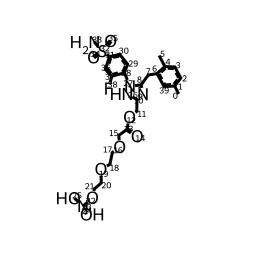 Cc1ccc(C)c(CC2=NC(COC(=O)COCCOCCON(O)O)NN2c2ccc(S(N)(=O)=O)cc2F)c1